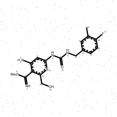 COC(=N)c1c(N)cc(NC(=O)NCc2ccc(F)c(C)c2)nc1CO